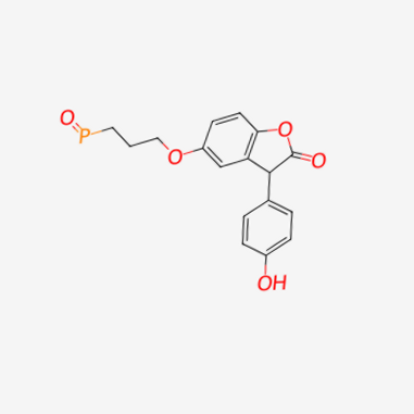 O=PCCCOc1ccc2c(c1)C(c1ccc(O)cc1)C(=O)O2